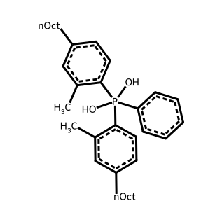 CCCCCCCCc1ccc(P(O)(O)(c2ccccc2)c2ccc(CCCCCCCC)cc2C)c(C)c1